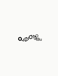 CC(C)(C)OC(=O)CN1CCC(N2CCN(Cc3ccccc3)CC2)CC1